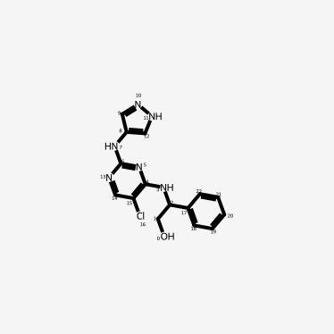 OCC(Nc1nc(Nc2cn[nH]c2)ncc1Cl)c1ccccc1